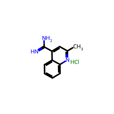 Cc1cc(C(=N)N)c2ccccc2n1.Cl